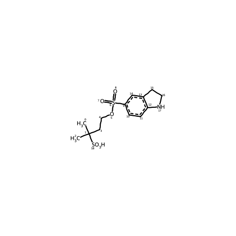 CC(C)(CCOS(=O)(=O)c1ccc2c(c1)CCN2)S(=O)(=O)O